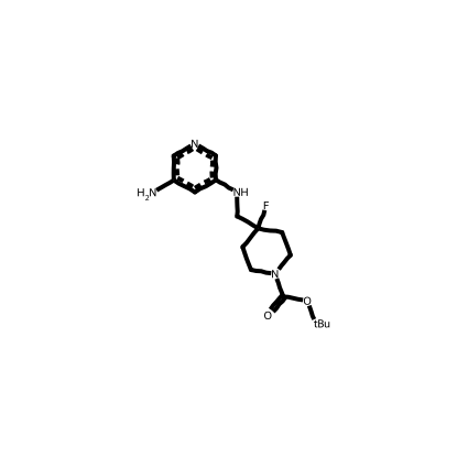 CC(C)(C)OC(=O)N1CCC(F)(CNc2cncc(N)c2)CC1